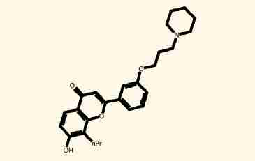 CCCc1c(O)ccc2c(=O)cc(-c3cccc(OCCCN4CCCCC4)c3)oc12